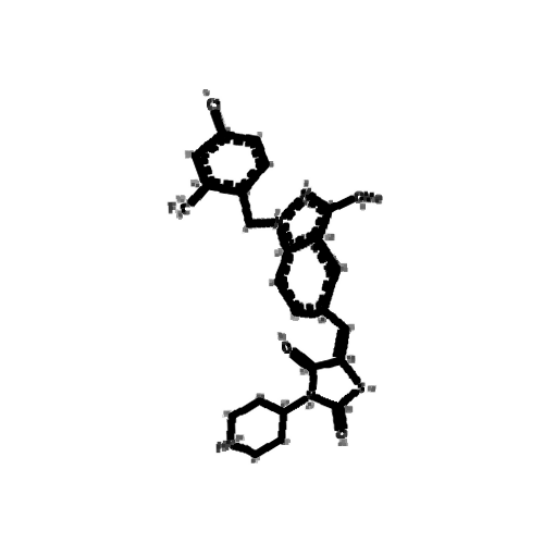 COc1nn(Cc2ccc(Cl)cc2C(F)(F)F)c2ccc(C=C3SC(=O)N(C4CCNCC4)C3=O)cc12